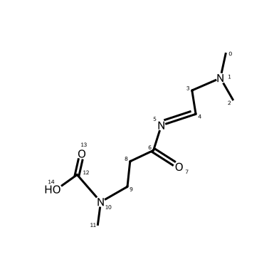 CN(C)C/C=N/C(=O)CCN(C)C(=O)O